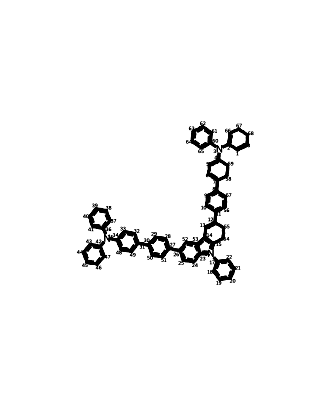 C1=CC(N(C2=CC=C(c3ccc(C4=Cc5c(n(-c6ccccc6)c6ccc(-c7ccc(-c8ccc(N(c9ccccc9)c9ccccc9)cc8)cc7)cc56)CC4)cc3)CC2)c2ccccc2)=CCC1